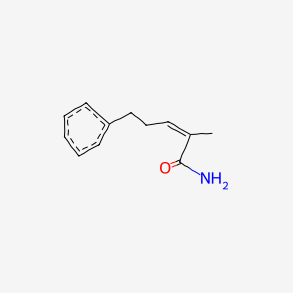 CC(=CCCc1ccccc1)C(N)=O